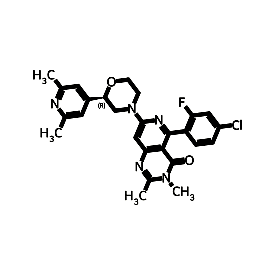 Cc1cc([C@@H]2CN(c3cc4nc(C)n(C)c(=O)c4c(-c4ccc(Cl)cc4F)n3)CCO2)cc(C)n1